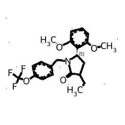 CCC1C[C@@H](c2c(OC)cccc2OC)N(Cc2ccc(OC(F)(F)F)cc2)C1=O